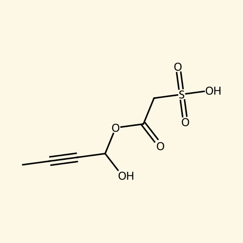 CC#CC(O)OC(=O)CS(=O)(=O)O